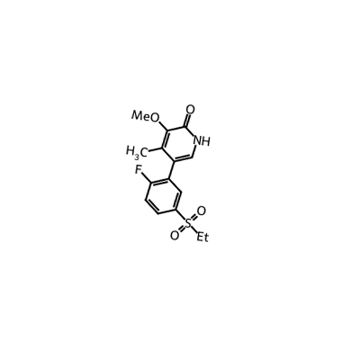 CCS(=O)(=O)c1ccc(F)c(-c2c[nH]c(=O)c(OC)c2C)c1